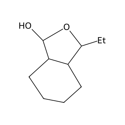 CCC1OC(O)C2CCCCC12